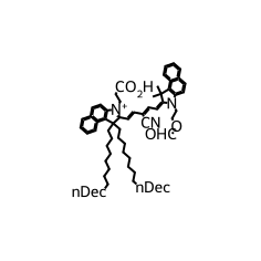 CCCCCCCCCCCCCCCCCCC1(CCCCCCCCCCCCCCCCCC)C(/C=C/C(C#N)=C/C=C2/N(CCOC=O)c3ccc4ccccc4c3C2(C)C)=[N+](CCC(=O)O)c2ccc3ccccc3c21